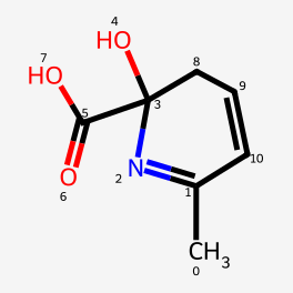 CC1=NC(O)(C(=O)O)CC=C1